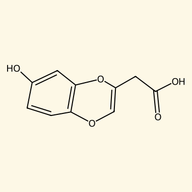 O=C(O)CC1=COc2ccc(O)cc2O1